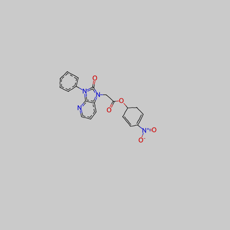 O=C(Cn1c(=O)n(-c2ccccc2)c2ncccc21)OC1C=CC([N+](=O)[O-])=CC1